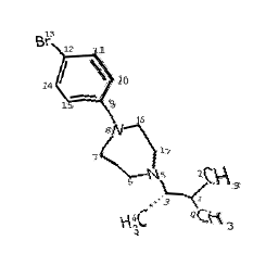 CC(C)[C@H](C)N1CCN(c2ccc(Br)cc2)CC1